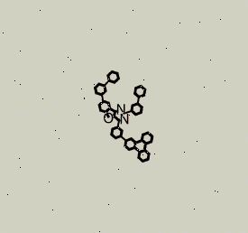 c1ccc(-c2cccc(-c3ccc4oc5c(-c6cccc(-c7ccc8c9ccccc9c9ccccc9c8c7)c6)nc(-c6cccc(-c7ccccc7)c6)nc5c4c3)c2)cc1